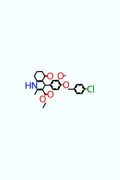 CCOC(=O)C1=C(C)NC2=C(C(=O)CCC2)C1c1ccc(OCc2ccc(Cl)cc2)c(OC)c1